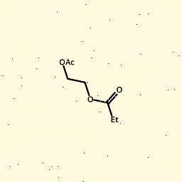 CCC(=O)O[CH]COC(C)=O